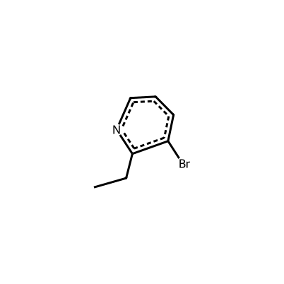 CCc1ncccc1Br